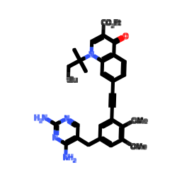 CCOC(=O)c1cn(C(C)(C)CC(C)(C)C)c2cc(C#Cc3cc(Cc4cnc(N)nc4N)cc(OC)c3OC)ccc2c1=O